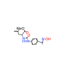 C=C(C)CC(NC(=O)Nc1ccc(C(C)=NO)cc1)C(=O)OC